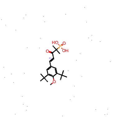 COc1c(C(C)(C)C)cc(/C=C/C(=O)C(C)(C)P(=O)(O)O)cc1C(C)(C)C